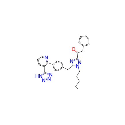 CCCCCn1nc(C(=O)Cc2ccccc2)nc1Cc1ccc(-c2ncccc2-c2nnn[nH]2)cc1